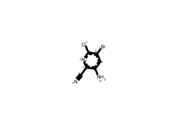 N#Cc1nc(Cl)c(Br)cc1N